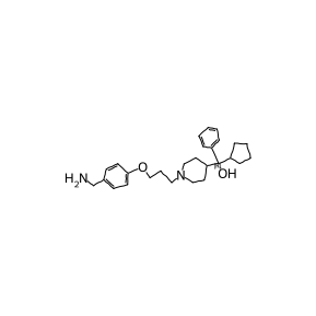 NCc1ccc(OCCCN2CCC([C@@](O)(c3ccccc3)C3CCCC3)CC2)cc1